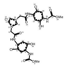 COC(=O)Nc1cc(Cl)c(NC(=O)Cn2cc[n+](CC(=O)Nc3cc(O)c(NC(=O)OC)cc3Cl)c2)cc1O.[Cl-]